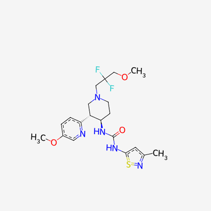 COCC(F)(F)CN1CC[C@@H](NC(=O)Nc2cc(C)ns2)[C@H](c2ccc(OC)cn2)C1